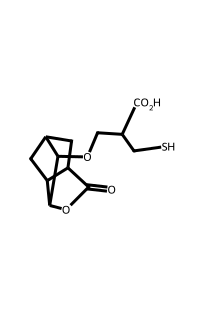 O=C(O)C(CS)COC1C2CC3C(=O)OC1C3C2